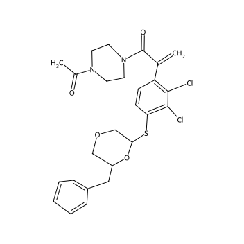 C=C(C(=O)N1CCN(C(C)=O)CC1)c1ccc(SC2COCC(Cc3ccccc3)O2)c(Cl)c1Cl